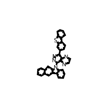 c1ccc2cc3c(cc2c1)c1ccccc1n3-c1nnc(-c2ccc3c(c2)sc2ccccc23)c2nccnc12